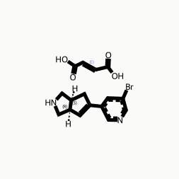 Brc1cncc(C2=C[C@H]3CNC[C@H]3C2)c1.O=C(O)/C=C/C(=O)O